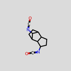 O=C=NC1CCC2C3CCC(C3N=C=O)C12